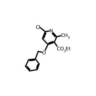 CCOC(=O)c1c(OCc2ccccc2)cc(Cl)nc1C